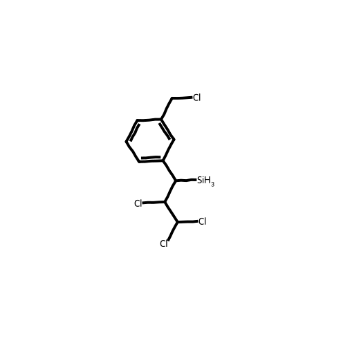 [SiH3]C(c1cccc(CCl)c1)C(Cl)C(Cl)Cl